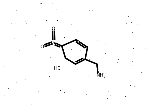 Cl.NCC1=CCC(=S(=O)=O)C=C1